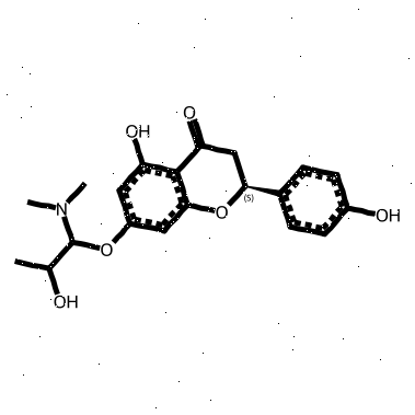 CC(O)C(Oc1cc(O)c2c(c1)O[C@H](c1ccc(O)cc1)CC2=O)N(C)C